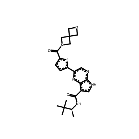 C[C@H](NC(=O)c1c[nH]c2ncc(-c3ccc(C(=O)N4CC5(COC5)C4)s3)nc12)C(C)(C)C